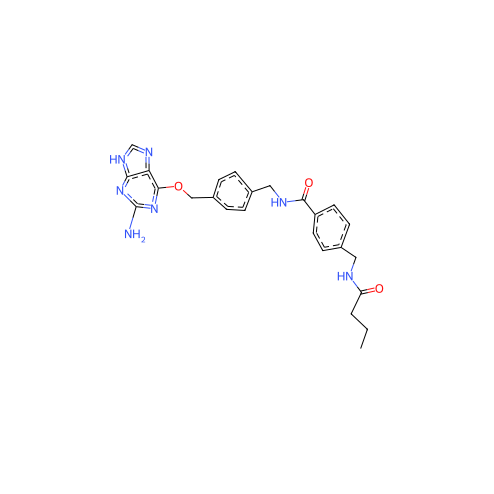 CCCC(=O)NCc1ccc(C(=O)NCc2ccc(COc3nc(N)nc4[nH]cnc34)cc2)cc1